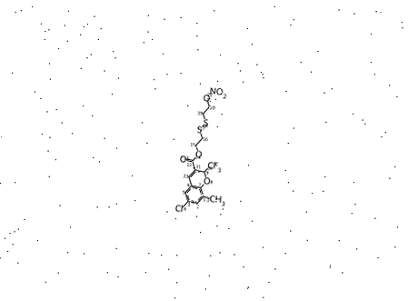 Cc1cc(Cl)cc2c1OC(C(F)(F)F)C(C(=O)OCCSSCCO[N+](=O)[O-])=C2